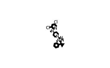 CN(c1ncc(Cl)cc1Cl)C1CCN(c2nnc(C3(c4ccccc4)CC3)n2C)CC1